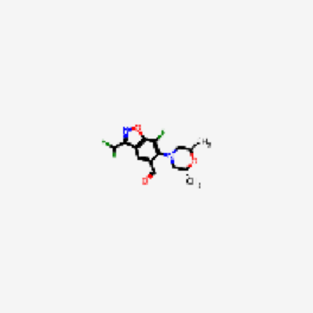 C[C@@H]1CN(c2c(C=O)cc3c(C(F)F)noc3c2F)C[C@@H](C)O1